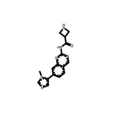 Cn1cncc1-c1ccc2cnc(NC(=O)C3CNC3)nc2c1